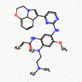 C=CC(=O)Nc1cc(Nc2nccc(C3=CN4CCOC5=CC=CC3C54)n2)c(OC)cc1N(C)CCN(C)C